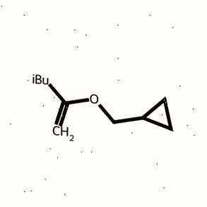 C=C(OCC1CC1)C(C)CC